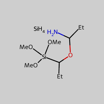 CCC(N)OC(CC)[Si](OC)(OC)OC.[SiH4]